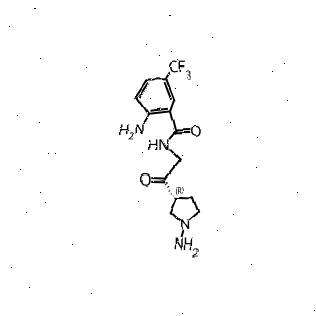 Nc1ccc(C(F)(F)F)cc1C(=O)NCC(=O)[C@@H]1CCN(N)C1